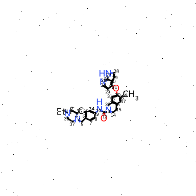 CCN1CCN(Cc2ccc(NC(=O)N3CCc4cc(C)c(Oc5ccnc6[nH]ccc56)cc4C3)cc2C(F)(F)F)CC1